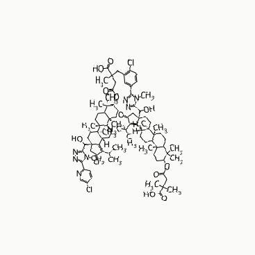 CC(C)C1=C2[C@H]3CCC4[C@@]5(C)CC[C@H](OC(=O)CC(C)(C)C(=O)O)C(C)(C)C5CC[C@@]4(C)[C@]3(C)CC[C@@]2(C(O)c2nnc(-c3ccc(Cl)c(CC(C)(CC(=O)O[C@H]4CC[C@@]5(C)C(CC[C@]6(C)C5CC[C@@H]5C7=C(C(C)C)C(=O)C[C@]7(C(O)c7nnc(-c8ccc(Cl)cn8)n7C)CC[C@]56C)C4(C)C)C(=O)O)c3)n2C)CC1=O